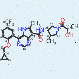 Cc1[nH]c2c(-c3cc(C(F)(F)F)ccc3OCC3CC3)ncnc2c1C(=O)N[C@@H]1CN(C(=O)[C@H](C)O)C[C@H]1C